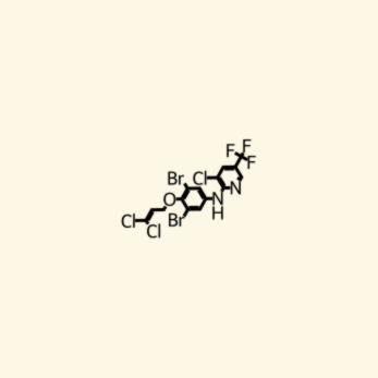 FC(F)(F)c1cnc(Nc2cc(Br)c(OCC=C(Cl)Cl)c(Br)c2)c(Cl)c1